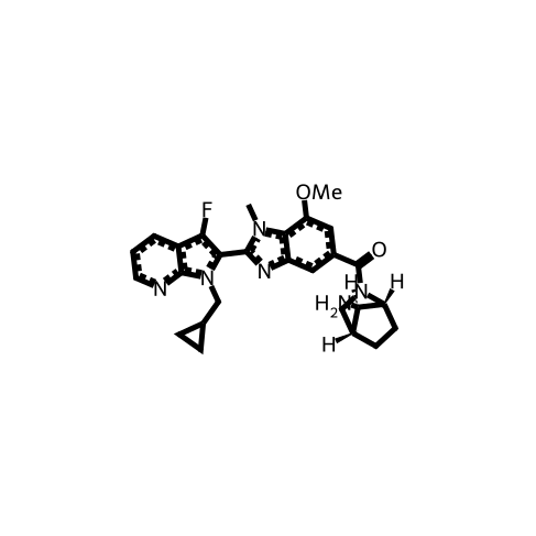 COc1cc(C(=O)N2C[C@H]3CC[C@@H]2[C@@H]3N)cc2nc(-c3c(F)c4cccnc4n3CC3CC3)n(C)c12